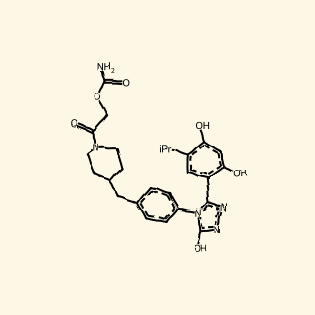 CC(C)c1cc(-c2nnc(O)n2-c2ccc(CC3CCN(C(=O)COC(N)=O)CC3)cc2)c(O)cc1O